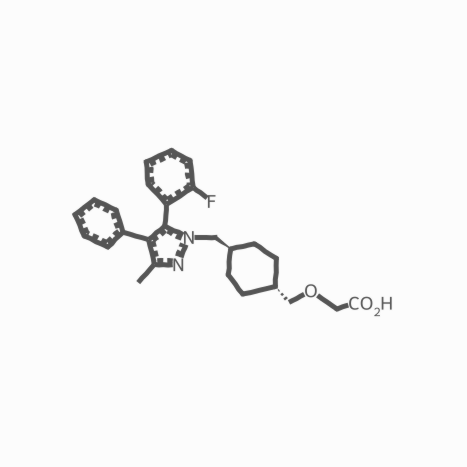 Cc1nn(C[C@H]2CC[C@H](COCC(=O)O)CC2)c(-c2ccccc2F)c1-c1ccccc1